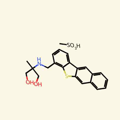 CC(CO)(CO)NCc1cccc2c1sc1cc3ccccc3cc12.CS(=O)(=O)O